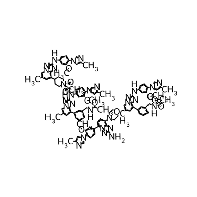 COc1cc(-c2ccc(N3CCOCC3)c3nc(N)nn23)ccc1-n1cnc(C)c1.COc1cc(Nc2nc3c(-c4cccc(CNC(C)=O)c4)cc(C)cn3n2)ccc1-n1cnc(C)c1.COc1cc(Nc2nc3c(-c4cccc(CNS(C)(=O)=O)c4)cc(C)cn3n2)ccc1-n1cnc(C)c1.COc1cc(Nc2nc3c(C4CCN(S(C)(=O)=O)CC4)cc(C)cn3n2)ccc1-n1cnc(C)c1